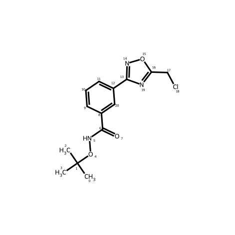 CC(C)(C)ONC(=O)c1cccc(-c2noc(CCl)n2)c1